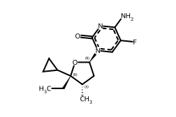 CC[C@@]1(C2CC2)O[C@@H](n2cc(F)c(N)nc2=O)C[C@@H]1C